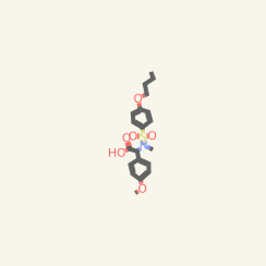 CCCCOc1ccc(S(=O)(=O)N(C)C(C(=O)O)c2ccc(OC)cc2)cc1